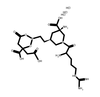 Cl.Cl.Cl.N=C(N)NCCCC(N)C(=O)N1C[C@@H](CCB2OC(=O)CC(CC(=O)O)(C(=O)O)O2)C[C@](N)(C(=O)O)C1